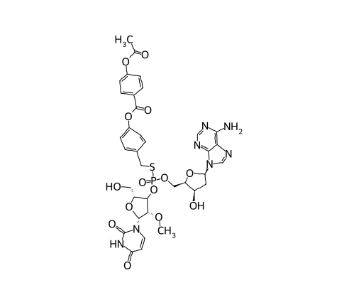 CO[C@H]1C(OP(=O)(OC[C@H]2O[C@@H](n3cnc4c(N)ncnc43)C[C@H]2O)SCc2ccc(OC(=O)c3ccc(OC(C)=O)cc3)cc2)[C@@H](CO)O[C@H]1n1ccc(=O)[nH]c1=O